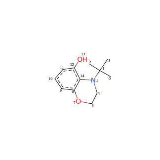 CC(C)(C)N1CCOc2cccc(O)c21